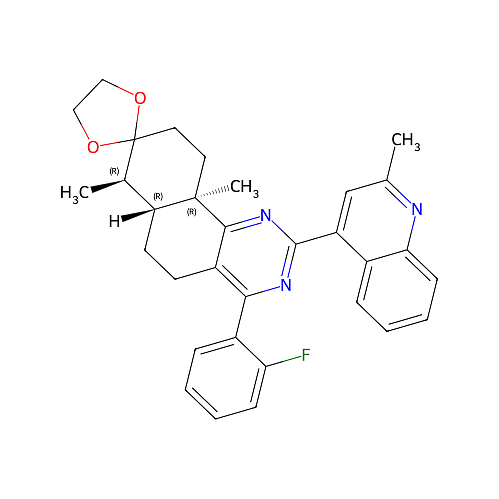 Cc1cc(-c2nc(-c3ccccc3F)c3c(n2)[C@]2(C)CCC4(OCCO4)[C@H](C)[C@H]2CC3)c2ccccc2n1